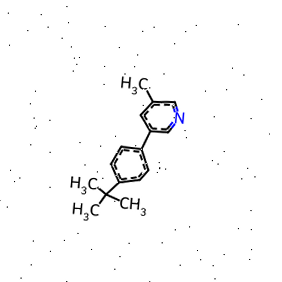 Cc1cncc(-c2ccc(C(C)(C)C)cc2)c1